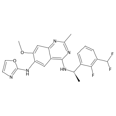 COc1cc2nc(C)nc(N[C@H](C)c3cccc(C(F)F)c3F)c2cc1Nc1ncco1